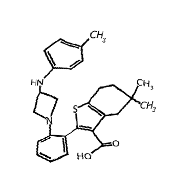 Cc1ccc(NC2CN(c3ccccc3-c3sc4c(c3C(=O)O)CC(C)(C)CC4)C2)cc1